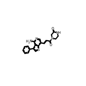 Nc1ncc(/C=C/C(=O)N2CCNC(=O)C2)c2scc(-c3ccccc3)c12